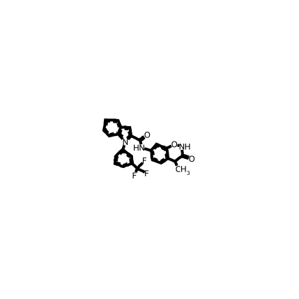 CC1C(=O)NOc2cc(NC(=O)c3cc4ccccc4n3-c3cccc(C(F)(F)F)c3)ccc21